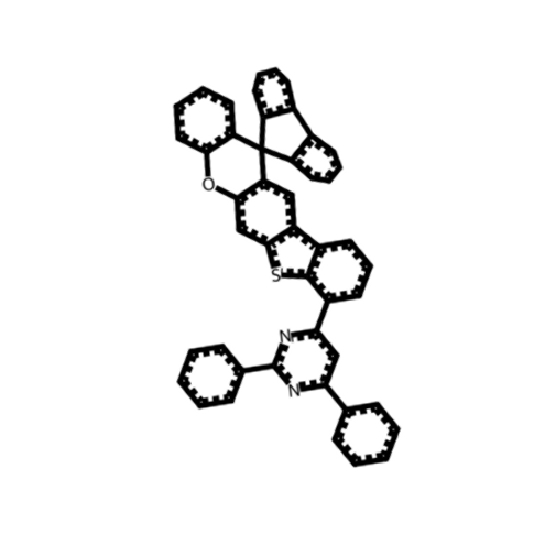 c1ccc(-c2cc(-c3cccc4c3sc3cc5c(cc34)C3(c4ccccc4O5)c4ccccc4-c4ccccc43)nc(-c3ccccc3)n2)cc1